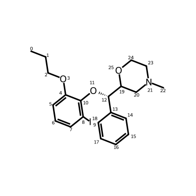 CCCOc1cccc(I)c1O[C@@H](c1ccccc1)C1CN(C)CCO1